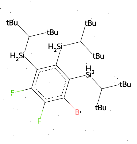 [B]c1c(F)c(F)c([SiH2]C(C(C)(C)C)C(C)(C)C)c([SiH2]C(C(C)(C)C)C(C)(C)C)c1[SiH2]C(C(C)(C)C)C(C)(C)C